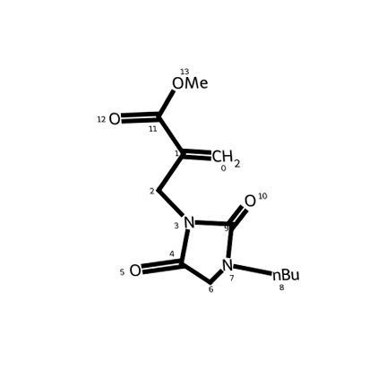 C=C(CN1C(=O)CN(CCCC)C1=O)C(=O)OC